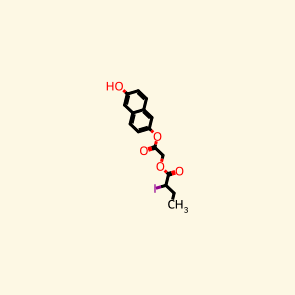 CCC(I)C(=O)OCC(=O)Oc1ccc2cc(O)ccc2c1